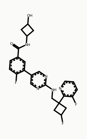 O=C(NC1CC(O)C1)c1ccc(F)c(-c2cnc(NCC3(c4ncccc4F)CC(F)C3)nc2)c1